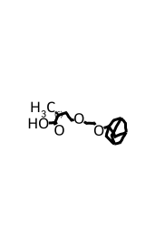 C[C@@H](CCOCCOC12CC3CC(CC(C3)C1)C2)C(=O)O